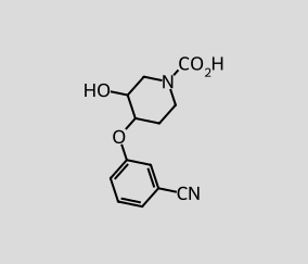 N#Cc1cccc(OC2CCN(C(=O)O)CC2O)c1